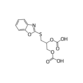 O=C(O)OCC(CSc1nc2ccccc2o1)OC(=O)O